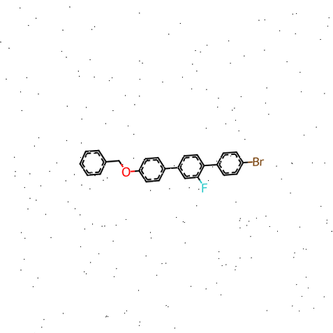 Fc1cc(-c2ccc(OCc3ccccc3)cc2)ccc1-c1ccc(Br)cc1